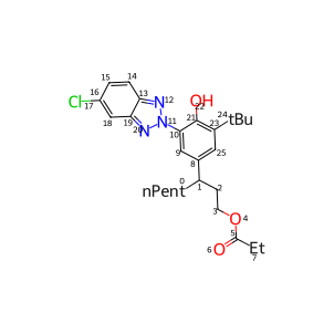 CCCCCC(CCOC(=O)CC)c1cc(-n2nc3ccc(Cl)cc3n2)c(O)c(C(C)(C)C)c1